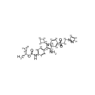 CC(OC(=O)Nc1ccc(-c2c(N)c3cc(S(=O)(=O)CCn4cccn4)ccc3n2C2CCC2)cc1)C1CC1